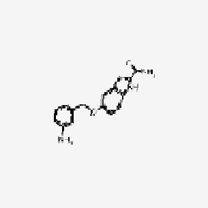 NC(=O)c1cc2cc(OCc3cccc(N)c3)ccc2[nH]1